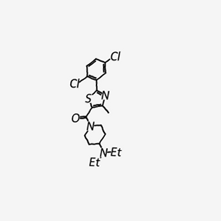 CCN(CC)C1CCN(C(=O)c2sc(-c3cc(Cl)ccc3Cl)nc2C)CC1